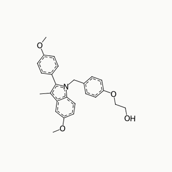 COc1ccc(-c2c(C)c3cc(OC)ccc3n2Cc2ccc(OCCO)cc2)cc1